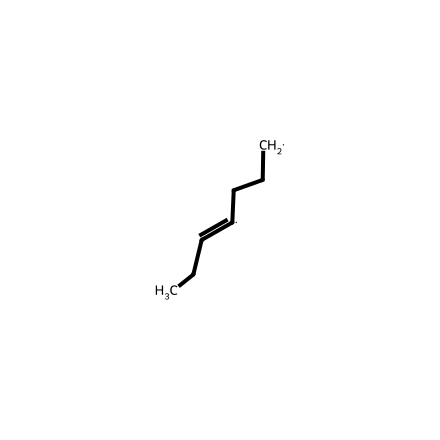 [CH2]CC/[C]=C/CC